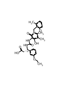 CCOc1cccc([C@H](CC(=O)O)NC(=O)Nc2c(O)c(C)c(C)n(Cc3c(C)cccc3Cl)c2=O)c1